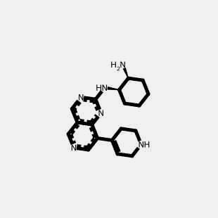 N[C@H]1CCCC[C@H]1Nc1ncc2cncc(C3=CCNCC3)c2n1